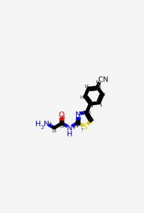 N#Cc1ccc(-c2csc(NC(=O)CN)n2)cc1